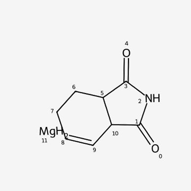 O=C1NC(=O)C2CCC=CC12.[MgH2]